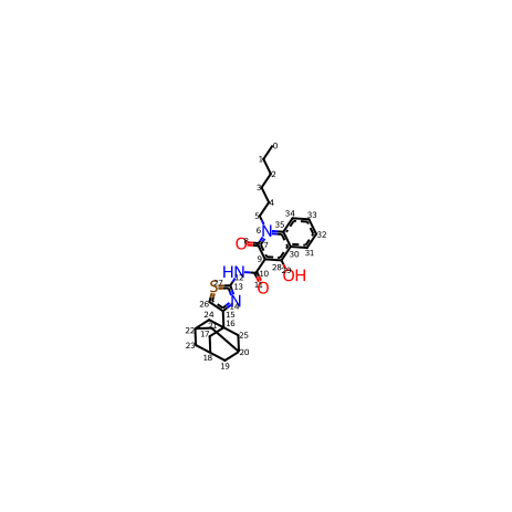 CCCCCCn1c(=O)c(C(=O)Nc2nc(C34CC5CC(CC(C5)C3)C4)cs2)c(O)c2ccccc21